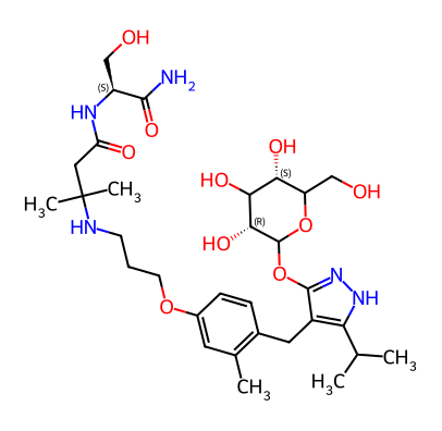 Cc1cc(OCCCNC(C)(C)CC(=O)N[C@@H](CO)C(N)=O)ccc1Cc1c(OC2OC(CO)[C@@H](O)C(O)[C@H]2O)n[nH]c1C(C)C